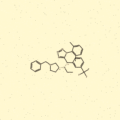 CCN([C@@H]1CCN(Cc2ccccc2)C1)[C@@H](c1cccc(C(F)(F)F)c1)c1nnnn1-c1c(C)cccc1C